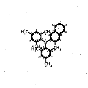 Cc1cc(C)c(B(c2ccc3[c]cc[c]c3c2)c2c(C)cc(C)cc2C)c(C)c1